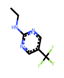 CCNc1ncc(C(F)(F)F)cn1